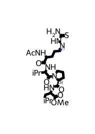 COC(=O)C(CC(C)C)NC(=O)[C@@H]1CCCN1C(=O)C(NC(=O)C(CC/C=N\NC(N)=S)NC(C)=O)C(C)C